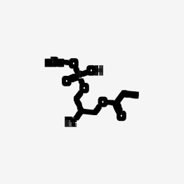 C=CC(=O)OCC(CC)COP(=O)(O)OCCCC